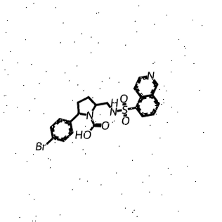 O=C(O)N1C(CNS(=O)(=O)c2cccc3cnccc23)CCC1c1ccc(Br)cc1